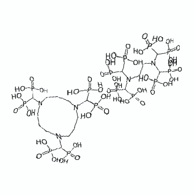 O=P(O)(O)C(N(CCN(C(P(=O)(O)O)P(=O)(O)O)C(P(=O)(O)O)P(=O)(O)O)C(P(=O)(O)O)P(=O)(O)O)P(=O)(O)O.O=P(O)(O)C(N1CCCN(C(P(=O)(O)O)P(=O)(O)O)CCCN(C(P(=O)(O)O)P(=O)(O)O)CCC1)P(=O)(O)O